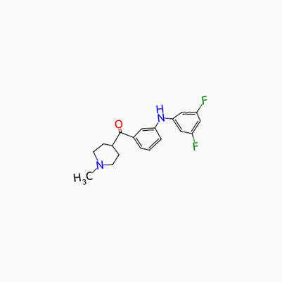 CN1CCC(C(=O)c2cccc(Nc3cc(F)cc(F)c3)c2)CC1